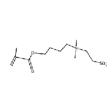 C=C(C)C(=O)OCCCC[N+](C)(C)CCS(=O)(=O)O